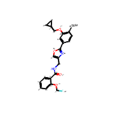 COc1ccc(-c2nc(CNC(=O)c3ccccc3OCF)co2)cc1OCC1CC1